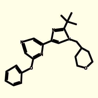 CC(C)(C)c1nc(-c2cncc(Oc3ccccc3)n2)cn1CC1CCOCC1